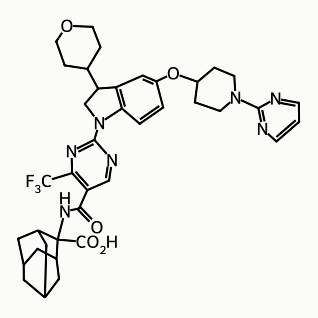 O=C(NC1(C(=O)O)C2CC3CC(C2)CC1C3)c1cnc(N2CC(C3CCOCC3)c3cc(OC4CCN(c5ncccn5)CC4)ccc32)nc1C(F)(F)F